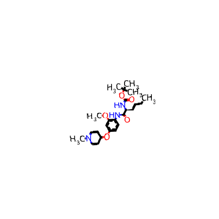 CCCC[C@H](NC(=O)OC(C)(C)C)C(=O)Nc1ccc(OC2CCN(C)CC2)cc1OC